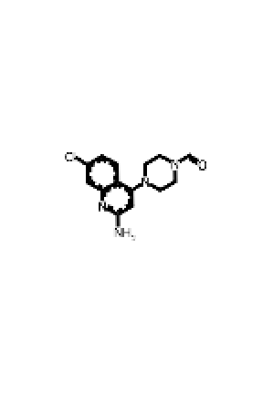 Nc1cc(N2CCN([C]=O)CC2)c2ccc(Cl)cc2n1